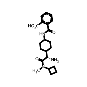 CN(C(=O)[C@@H](N)C1CCC(NC(=O)c2ccccc2C(=O)O)CC1)C1CCC1